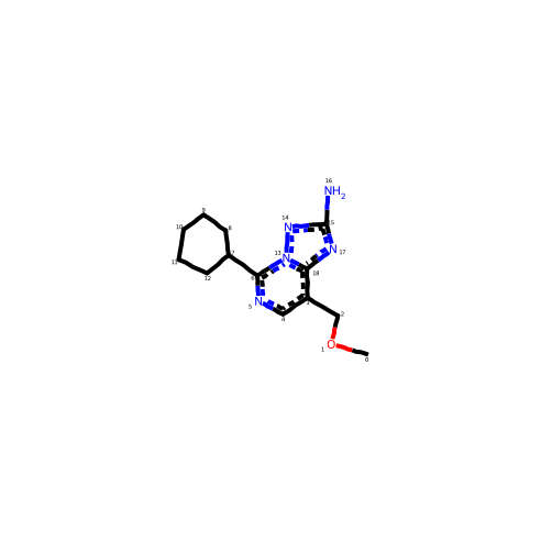 COCc1cnc(C2CCCCC2)n2nc(N)nc12